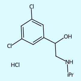 CC(C)NCC(O)c1cc(Cl)cc(Cl)c1.Cl